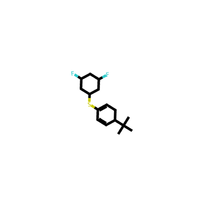 CC(C)(C)C1C=CC(SC2CC(F)CC(F)C2)=CC1